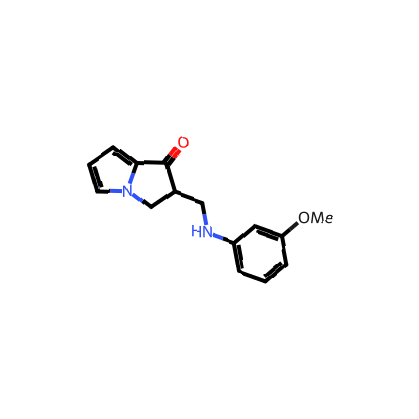 COc1cccc(NCC2Cn3cccc3C2=O)c1